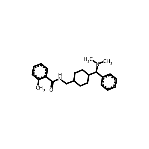 Cc1ccccc1C(=O)NCC1CCC(C(c2ccccc2)N(C)C)CC1